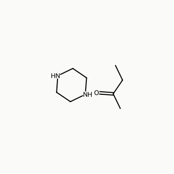 C1CNCCN1.CCC(C)=O